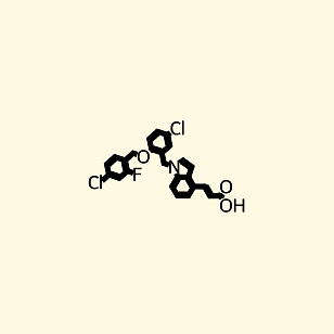 O=C(O)C=Cc1cccc2c1ccn2Cc1cc(Cl)ccc1OCc1ccc(Cl)cc1F